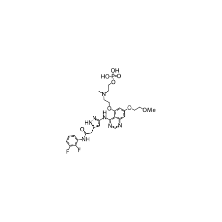 COCCOc1cc(OCCN(C)CCOP(=O)(O)O)c2c(Nc3cc(CC(=O)Nc4cccc(F)c4F)[nH]n3)ncnc2c1